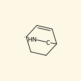 C1=CC2CC[C]1NC2